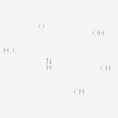 CC(=O)N[C@H](CO)C(C)C